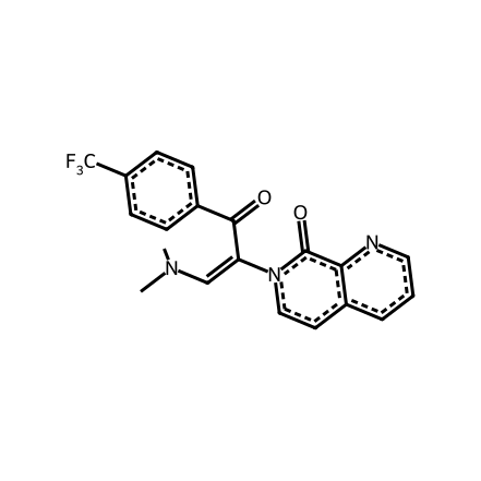 CN(C)/C=C(\C(=O)c1ccc(C(F)(F)F)cc1)n1ccc2cccnc2c1=O